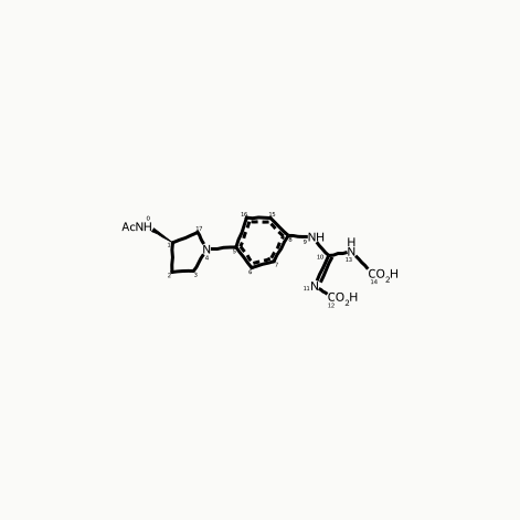 CC(=O)N[C@@H]1CCN(c2ccc(NC(=NC(=O)O)NC(=O)O)cc2)C1